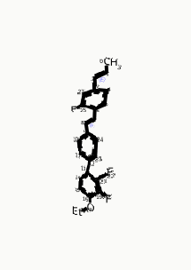 C/C=C/c1ccc(/C=C/c2ccc(-c3ccc(OCC)c(F)c3F)cc2)c(F)c1